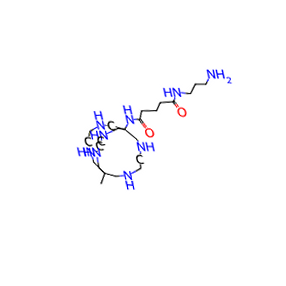 CC12CNCCNCC(NC(=O)CCCC(=O)NCCCN)(CNCCNC1)CNCCNC2